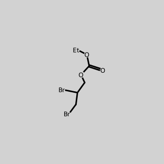 CCOC(=O)OCC(Br)CBr